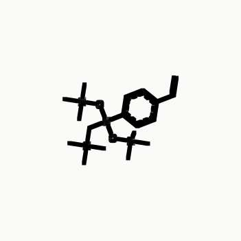 C=Cc1ccc([Si](C[Si](C)(C)C)(O[Si](C)(C)C)O[Si](C)(C)C)cc1